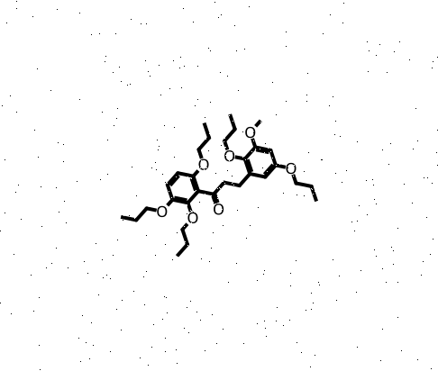 CCCOc1cc(CCC(=O)c2c(OCCC)ccc(OCCC)c2OCCC)c(OCCC)c(OC)c1